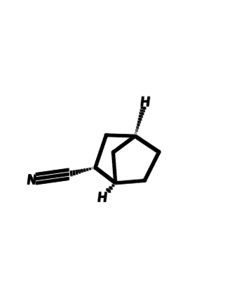 N#C[C@@H]1C[C@H]2CC[C@@H]1C2